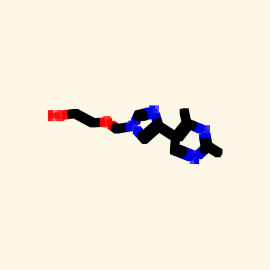 Cc1ncc(-c2cn(COCCO)cn2)c(C)n1